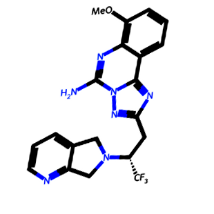 COc1cccc2c1nc(N)n1nc(C[C@@H](N3Cc4cccnc4C3)C(F)(F)F)nc21